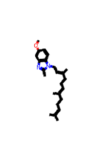 COc1ccc2c(c1)nc(C)n2C/C=C(\C)CC/C=C(\C)CCC=C(C)C